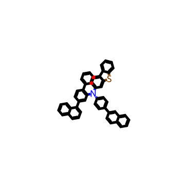 c1ccc(-c2ccc(-c3cccc4ccccc34)cc2N(c2ccc(-c3ccc4ccccc4c3)cc2)c2ccc3c(c2)sc2ccccc23)cc1